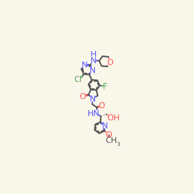 COc1cccc([C@@H](CO)NC(=O)CN2Cc3c(F)cc(-c4nc(NC5CCOCC5)ncc4Cl)cc3C2=O)n1